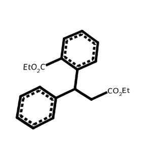 CCOC(=O)CC(c1ccccc1)c1ccccc1C(=O)OCC